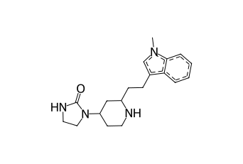 Cn1cc(CCC2CC(N3CCNC3=O)CCN2)c2ccccc21